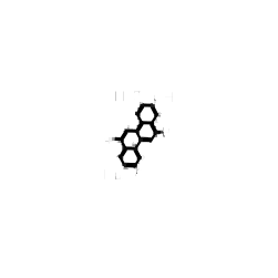 Cc1cc2c(Br)cc3c4cc(C)c(C)cc4c(Br)cc3c2cc1C